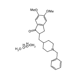 COc1cc2c(cc1OC)C(=O)C(CC1CCN(Cc3ccccc3)CC1)C2.O.O.O.O